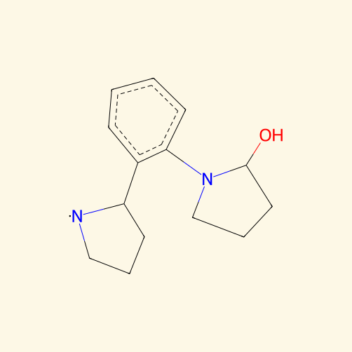 OC1CCCN1c1ccccc1C1CCC[N]1